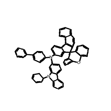 C1=CCC(n2c3ccccc3c3ccc(N(c4ccc(-c5ccccc5)cc4)c4ccc5c(c4)C4(c6ccccc6Oc6ccccc64)c4ccc6ccccc6c4-5)cc32)C=C1